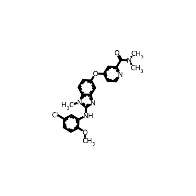 COc1ccc(Cl)cc1Nc1nc2cc(Oc3ccnc(C(=O)N(C)C)c3)ccc2n1C